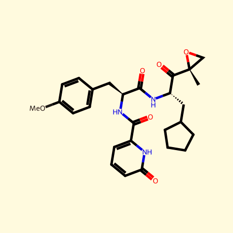 COc1ccc(C[C@H](NC(=O)c2cccc(=O)[nH]2)C(=O)N[C@@H](CC2CCCC2)C(=O)[C@@]2(C)CO2)cc1